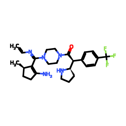 C=C/N=C(\C1=C(N)CC[C@H]1C)N1CCN(C(=O)[C@@H](c2ccc(C(F)(F)F)cc2)[C@@H]2CCCN2)CC1